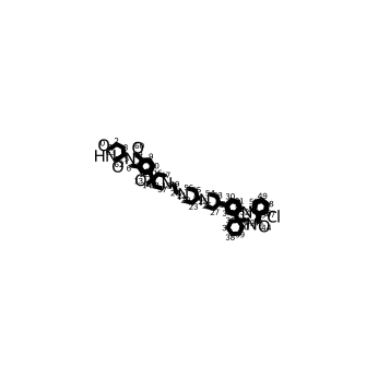 O=C1CC[C@H](N2Cc3c(ccc4c3OCC43CCN(CCN4CCC(N5CCC(c6ccc7c(c6)C6(CCCCC6)c6nc(=O)c8c(Cl)cccc8n6-7)CC5)CC4)CC3)C2=O)C(=O)N1